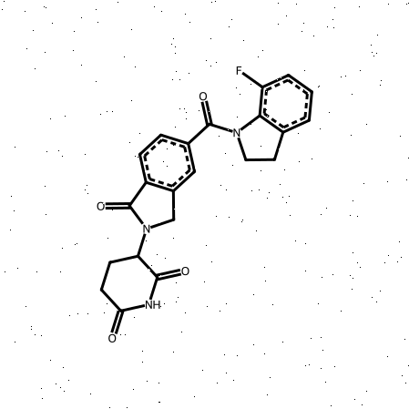 O=C1CCC(N2Cc3cc(C(=O)N4CCc5cccc(F)c54)ccc3C2=O)C(=O)N1